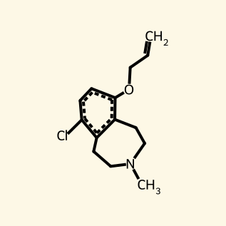 C=CCOc1ccc(Cl)c2c1CCN(C)CC2